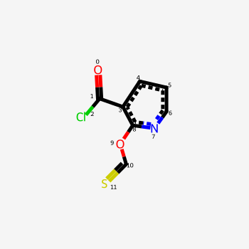 O=C(Cl)c1cccnc1OC=S